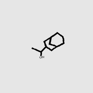 CC(O)C1CC2CCCC(C2)C1